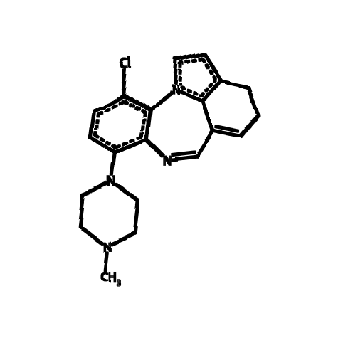 CN1CCN(c2ccc(Cl)c3c2N=CC2=CCCc4ccn-3c42)CC1